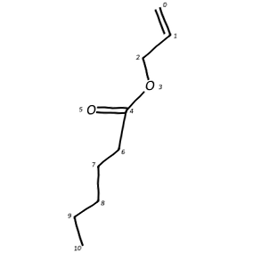 C=CCOC(=O)CCCCC